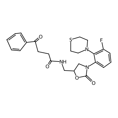 O=C(CCC(=O)c1ccccc1)NCC1CN(c2cccc(F)c2N2CCSCC2)C(=O)O1